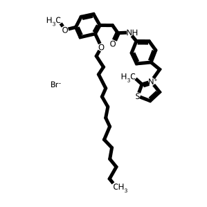 CCCCCCCCCCCCCCOc1cc(OC)ccc1CC(=O)Nc1ccc(C[n+]2ccsc2C)cc1.[Br-]